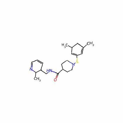 CC1=CC(SN2CCC(C(=O)NCC3C=CC=NC3C)CC2)=CC(C)C1